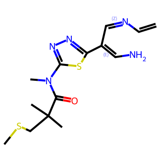 C=C/N=C\C(=C/N)c1nnc(N(C)C(=O)C(C)(C)CSC)s1